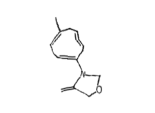 C=C1COCN1c1ccc(C)cc1